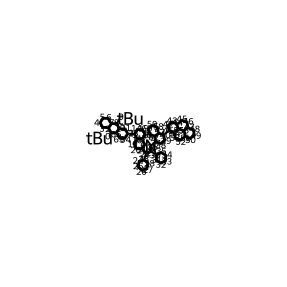 CC(C)(C)c1c2ccccc2c(C(C)(C)C)c2cc(-c3cccc4c3ccc3c(-c5ccccc5)c(-c5ccccc5)n(-c5ccc(-c6ccc7ccc8cccc9ccc6c7c89)c6ccccc56)c34)ccc12